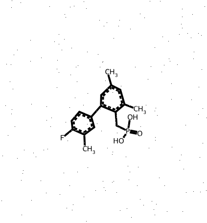 Cc1cc(C)c(CP(=O)(O)O)c(-c2ccc(F)c(C)c2)c1